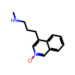 CNCCCc1c[n+]([O-])cc2ccccc12